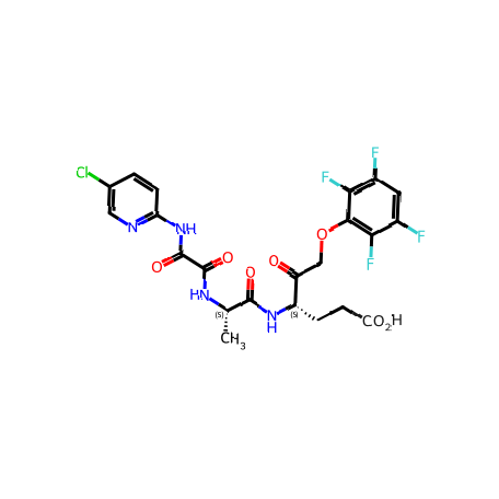 C[C@H](NC(=O)C(=O)Nc1ccc(Cl)cn1)C(=O)N[C@@H](CCC(=O)O)C(=O)COc1c(F)c(F)cc(F)c1F